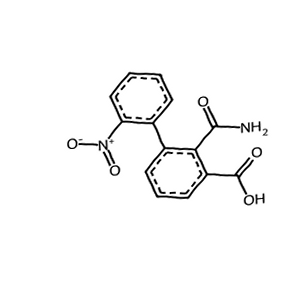 NC(=O)c1c(C(=O)O)cccc1-c1ccccc1[N+](=O)[O-]